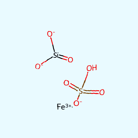 O=S(=O)([O-])O.O=[Si]([O-])[O-].[Fe+3]